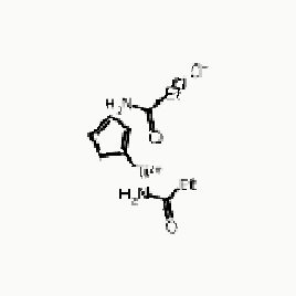 CCC(N)=O.CCC(N)=O.[Cl-].[Cl-].[Ti+2][C]1=CC=CC1